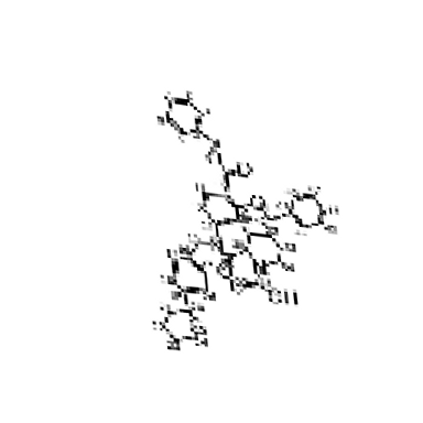 O=C(OCc1ccccc1)c1ccc(N(Cc2ccc(C3CCCCC3)cc2)C(=O)[C@H]2CCCCN2C(=O)O)cc1OCc1ccccc1